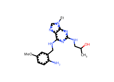 CCn1cnc2c(NCc3cc(OC)ccc3N)nc(NCC(C)O)nc21